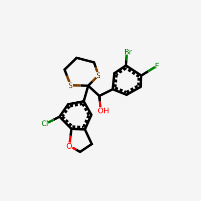 OC(c1ccc(F)c(Br)c1)C1(c2cc(Cl)c3c(c2)CCO3)SCCCS1